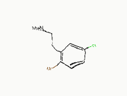 CNCCc1cc(Cl)ccc1Br